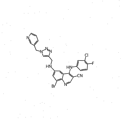 N#Cc1cnc2c(Br)cc(NCc3cn(Cc4cccnc4)nn3)cc2c1Nc1ccc(F)c(Cl)c1